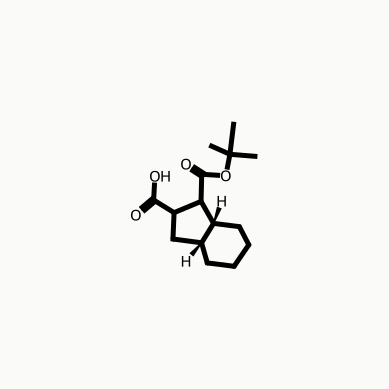 CC(C)(C)OC(=O)C1C(C(=O)O)C[C@H]2CCCC[C@@H]12